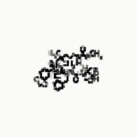 COC(=O)NCCCC(C)(C)CN(C[C@@H](O)[C@H](Cc1ccccc1)NC(=O)O[C@H]1CO[C@H]2OCC[C@H]21)S(=O)(=O)c1ccc2c(c1)OCO2